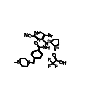 C[C@@H]1CCC[C@H]1N(NC(=O)c1ccc(CN2CCN(C)CC2)cc1)c1nc(C#N)ncc1Br.O=C(O)C(F)(F)F